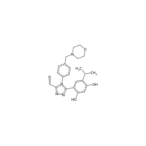 CC(C)c1cc(-c2nnc(C=O)n2-c2ccc(CN3CCOCC3)cc2)c(O)cc1O